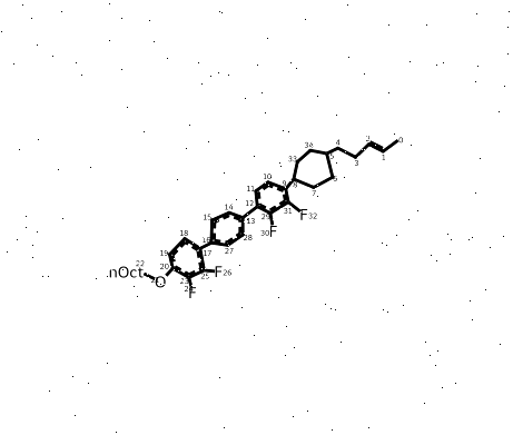 C/C=C/CCC1CCC(c2ccc(-c3ccc(-c4ccc(OCCCCCCCC)c(F)c4F)cc3)c(F)c2F)CC1